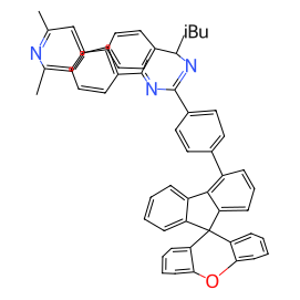 CCC(C)C(/N=C(\N=C(/C)c1ccccc1)c1ccc(-c2cccc3c2-c2ccccc2C32c3ccccc3Oc3ccccc32)cc1)c1ccc(-c2cc(C)nc(C)c2)cc1